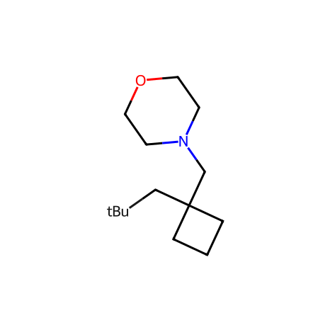 CC(C)(C)CC1(CN2CCOCC2)CCC1